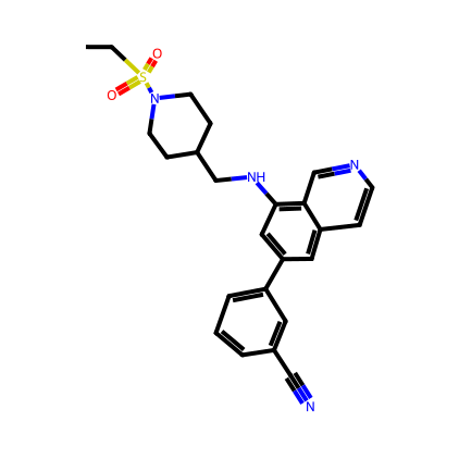 CCS(=O)(=O)N1CCC(CNc2cc(-c3cccc(C#N)c3)cc3ccncc23)CC1